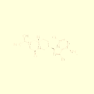 CC(C)N1CC(=O)N2C[C@H](c3nc(Br)c4c(N)ncc(Cl)n34)CC[C@H]2C1